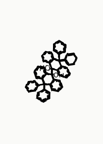 OC1(C2(O)c3ccccc3C(c3ccccc3)(c3ccccc3)c3ccccc32)c2ccccc2C(C2=CCCC=C2)(c2ccccc2)c2ccccc21